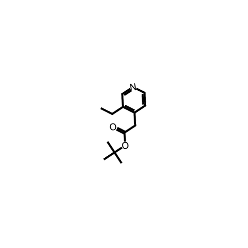 CCc1cnccc1CC(=O)OC(C)(C)C